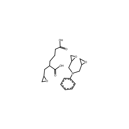 O=C(O)CCCC(CC1CO1)C(=O)O.c1ccc(N(CC2CO2)CC2CO2)cc1